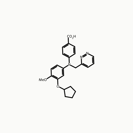 COc1ccc(N(Cc2cccnn2)c2ccc(C(=O)O)cc2)cc1OC1CCCC1